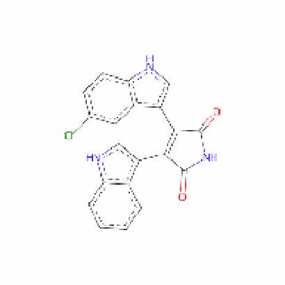 O=C1NC(=O)C(c2c[nH]c3ccc(Cl)cc23)=C1c1c[nH]c2ccccc12